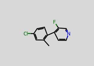 Cc1cc(Cl)ccc1-c1ccncc1F